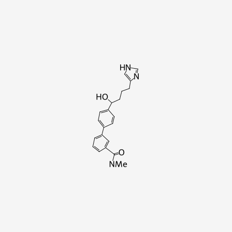 CNC(=O)c1cccc(-c2ccc(C(O)CCCc3c[nH]cn3)cc2)c1